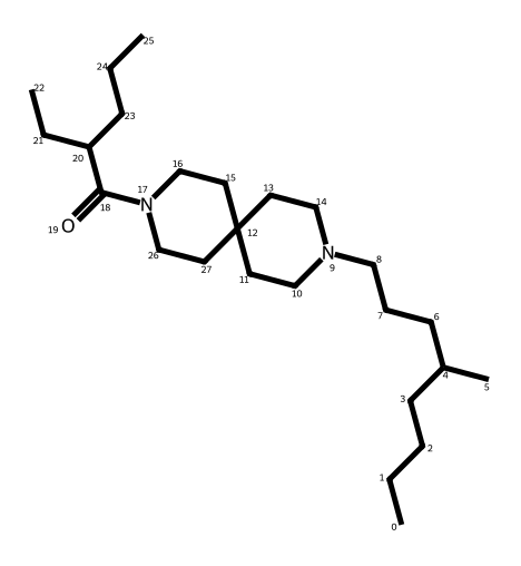 CCCCC(C)CCCN1CCC2(CC1)CCN(C(=O)C(CC)CCC)CC2